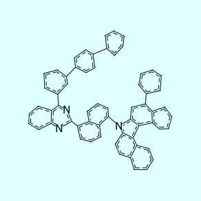 c1ccc(-c2ccc(-c3cccc(-c4nc(-c5cccc6c(-n7c8ccc9ccccc9c8c8c9ccccc9c(-c9ccccc9)cc87)cccc56)nc5ccccc45)c3)cc2)cc1